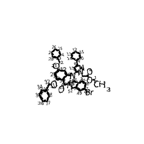 CCOC(=O)Cn1nc(-c2ccccc2)cc1Nc1cc(OCc2ccccc2)cc(OCc2ccccc2)c1C(=O)n1cc2ccc(Br)cc2c1